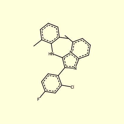 Cc1cccc(C)c1Nc1c(-c2ccc(F)cc2Cl)nc2cccc(C)n12